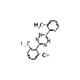 Cc1ccccc1-c1nnc(-c2c(C)cccc2O)nn1